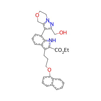 CCOC(=O)c1[nH]c2c(-c3c(CO)nn4c3COCC4)cccc2c1CCCOc1cccc2ccccc12